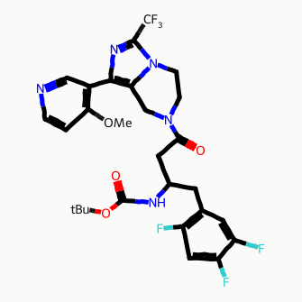 COc1ccncc1-c1nc(C(F)(F)F)n2c1CN(C(=O)CC(Cc1cc(F)c(F)cc1F)NC(=O)OC(C)(C)C)CC2